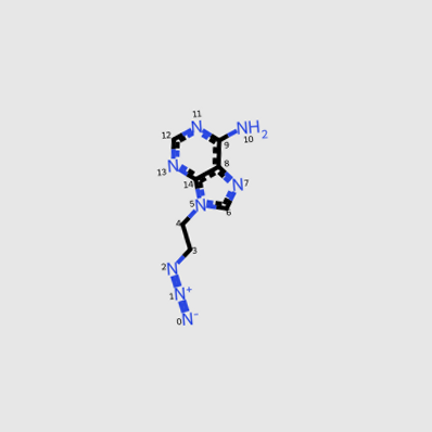 [N-]=[N+]=NCCn1cnc2c(N)ncnc21